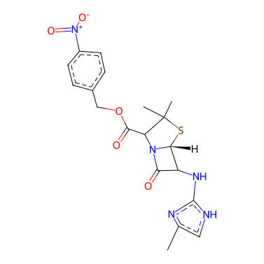 Cc1c[nH]c(NC2C(=O)N3C(C(=O)OCc4ccc([N+](=O)[O-])cc4)C(C)(C)S[C@H]23)n1